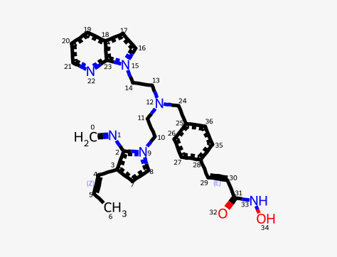 C=Nc1c(/C=C\C)ccn1CCN(CCn1ccc2cccnc21)Cc1ccc(/C=C/C(=O)NO)cc1